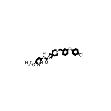 COc1ccc(NC(=O)N2CC3(CCN(Cc4cccc(Oc5ccc(Cl)cc5)c4)CC3)C2)nn1